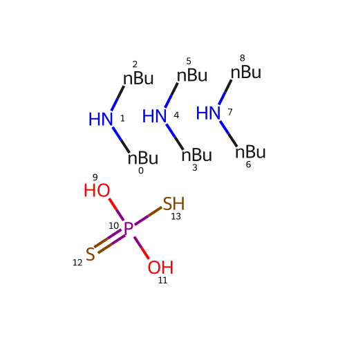 CCCCNCCCC.CCCCNCCCC.CCCCNCCCC.OP(O)(=S)S